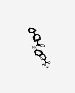 O=C(Nc1ccc2c(c1)CCC(C(=O)NO)O2)c1ccc(-c2ccccc2)cc1